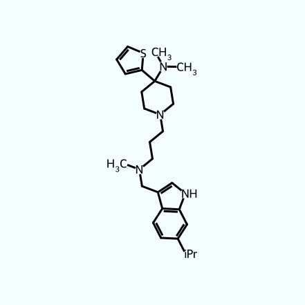 CC(C)c1ccc2c(CN(C)CCCN3CCC(c4cccs4)(N(C)C)CC3)c[nH]c2c1